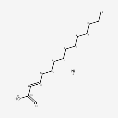 CCCCCCCCCCCC=CC(=O)O.[Ni]